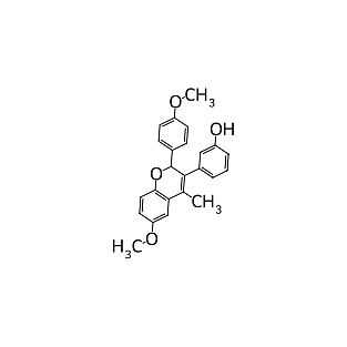 COc1ccc(C2Oc3ccc(OC)cc3C(C)=C2c2cccc(O)c2)cc1